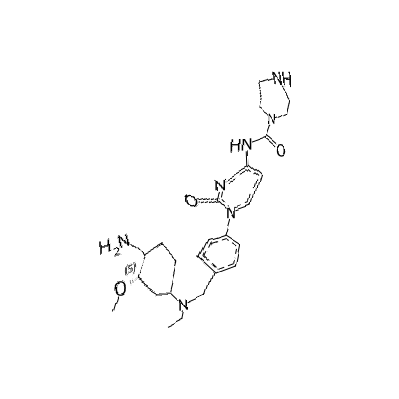 CCN(Cc1ccc(-n2ccc(NC(=O)N3CCNCC3)nc2=O)cc1)C1CCC(N)[C@@H](OC)C1